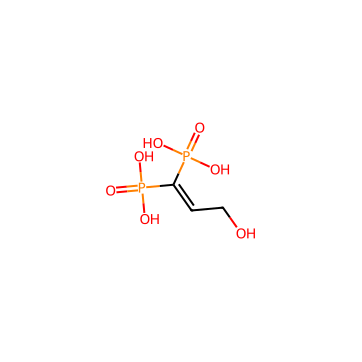 O=P(O)(O)C(=CCO)P(=O)(O)O